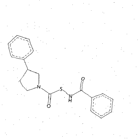 O=C(NSC(=O)N1CCC(c2ccccc2)C1)c1ccccc1